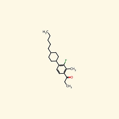 CCCCCC1CCC(c2ccc(C(=O)CC)c(C)c2F)CC1